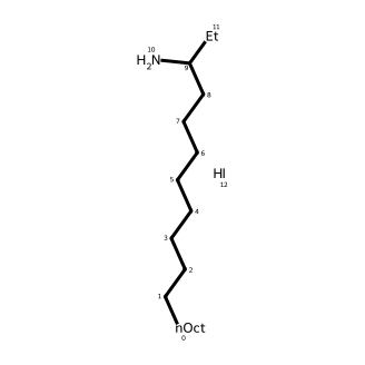 CCCCCCCCCCCCCCCCC(N)CC.I